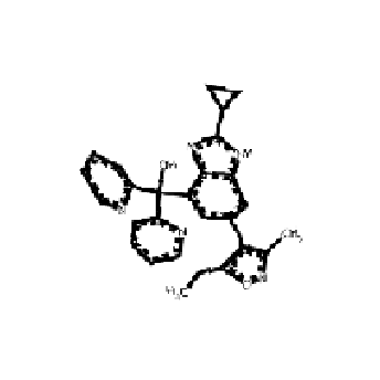 CCc1onc(C)c1-c1cc(C(O)(c2ccccn2)c2ccccn2)c2nc(C3CC3)[nH]c2c1